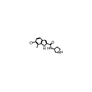 Cc1c(Cl)ccc2cc(C(=O)NC3CCNC3)[nH]c12